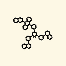 c1cc(-c2cc(-c3cccc(-c4c5ccccc5c(-c5ccc6ccccc6c5)c5ccccc45)c3)cc(-c3cccc(-c4cccc5ccccc45)c3)n2)cc(-c2cccc3ccccc23)c1